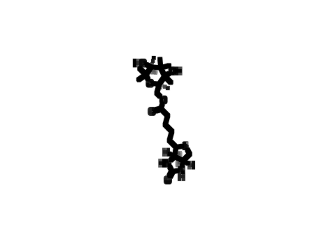 CC1(C)O[C@](C)(COC(=O)CCCCC2SC[C@@H]3NC(=O)N[C@H]23)C(C)(O)C(C)(C)[C@]1(C)O